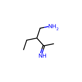 CCC(CN)C(C)=N